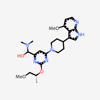 COC[C@@H](C)Oc1nc(C(O)N(C)C)cc(N2CCC(c3c[nH]c4nccc(OC)c34)CC2)n1